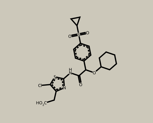 O=C(O)Cc1nc(NC(=O)C(OC2CCCCC2)c2ccc(S(=O)(=O)C3CC3)cc2)sc1Cl